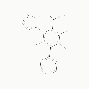 COC(=O)c1c(C)c(C)c(-c2ccccc2)c(C(=O)O)c1-c1cccs1